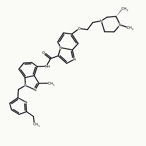 CCc1cccc(Cn2nc(C)c3c(NC(=O)c4cnc5cc(OCCN6CCN(C)[C@@H](C)C6)ccn45)cccc32)n1